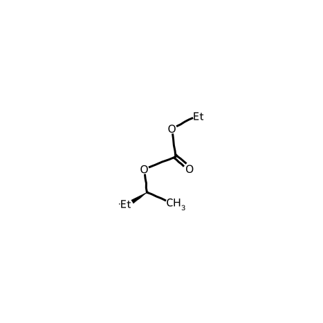 C[CH][C@H](C)OC(=O)OCC